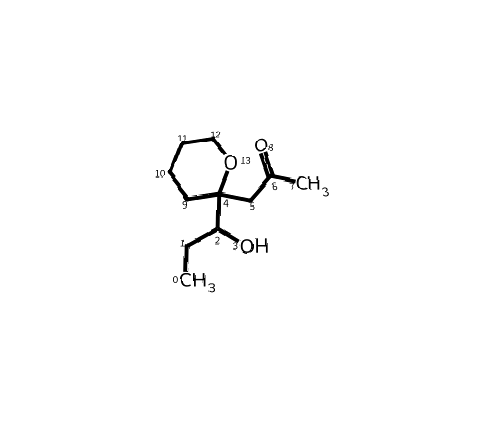 CCC(O)C1(CC(C)=O)CCCCO1